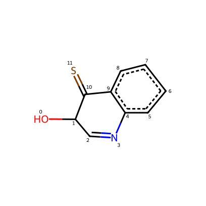 OC1C=Nc2ccccc2C1=S